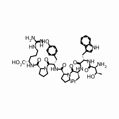 CC(C)C[C@H](NC(=O)[C@H](Cc1c[nH]c2ccccc12)NC(=O)[C@@H](N)[C@@H](C)O)C(=O)N1CCC[C@H]1C(=O)N[C@@H](Cc1ccc(O)cc1)C(=O)N1CCC[C@H]1C(=O)N[C@@H](CCCNC(=N)N)C(=O)O